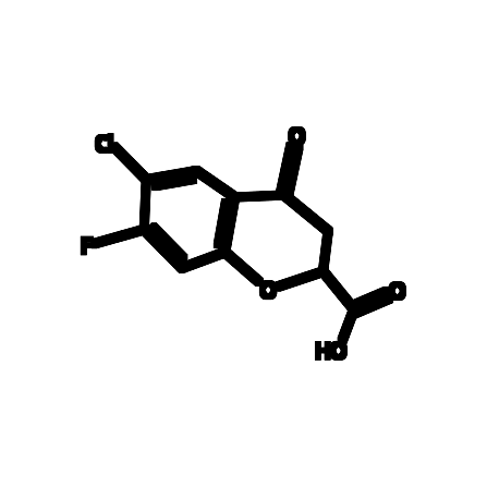 O=C1CC(C(=O)O)Oc2cc(F)c(Cl)cc21